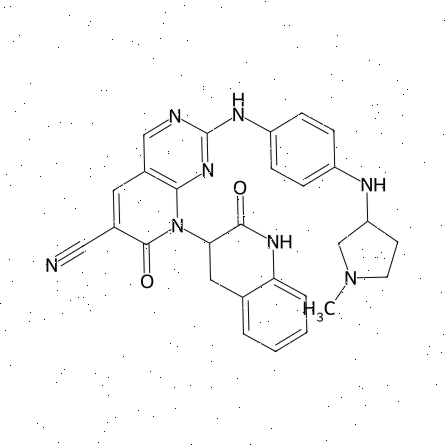 CN1CCC(Nc2ccc(Nc3ncc4cc(C#N)c(=O)n(C5Cc6ccccc6NC5=O)c4n3)cc2)C1